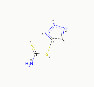 NC(=S)Sc1c[nH]nn1